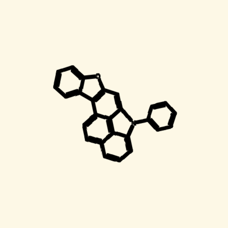 c1ccc(-n2c3cccc4ccc5c6c(cc2c5c43)oc2ccccc26)cc1